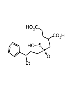 CCC(CCP(=O)(CC(CCC(=O)O)C(=O)O)SO)c1ccccc1